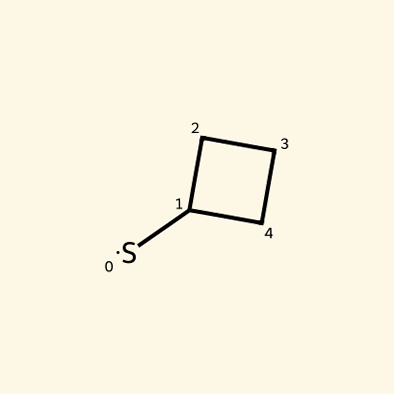 [S]C1CCC1